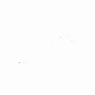 C#Cc1ccc([C@H](C)NCC(=O)[C@@H]2C[C@@H](O)CN2C(=O)[C@@H](NC(=O)[C@H]2CC[C@H](N3CCC(N4CCC(N5CCN6c7cc(-c8ccccc8O)nnc7NC[C@H]6C5)CC4)CC3)CC2)C(C)(C)C)cc1